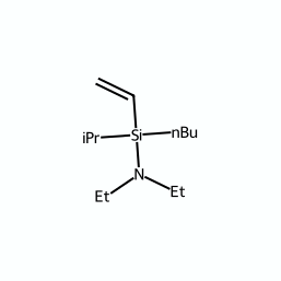 C=C[Si](CCCC)(C(C)C)N(CC)CC